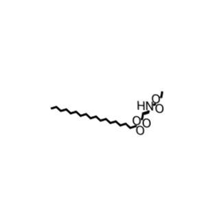 CCCCCCCCCCCCCCCCCC(=O)OC(=O)C=CNC(=O)OCC